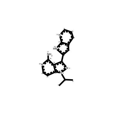 CC(C)n1nc(-c2cc3cccnc3[nH]2)c2c(N)nccc21